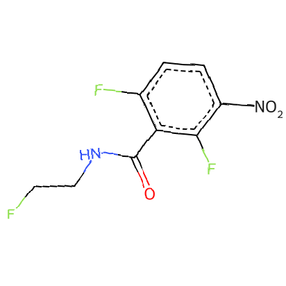 O=C(NCCF)c1c(F)ccc([N+](=O)[O-])c1F